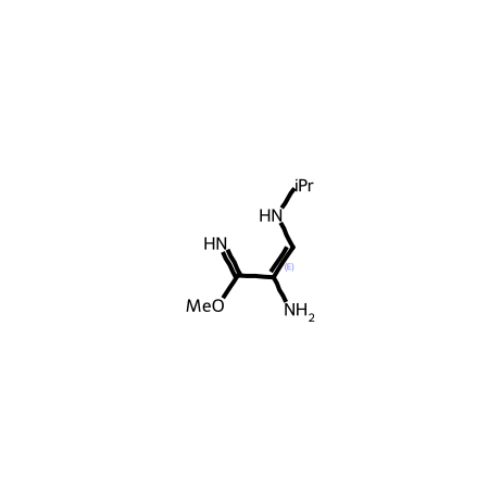 COC(=N)/C(N)=C\NC(C)C